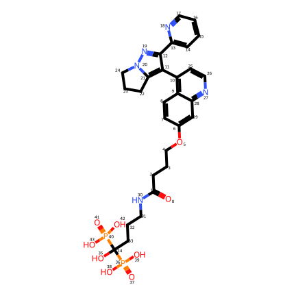 O=C(CCCOc1ccc2c(-c3c(-c4ccccn4)nn4c3CCC4)ccnc2c1)NCCCC(O)(P(=O)(O)O)P(=O)(O)O